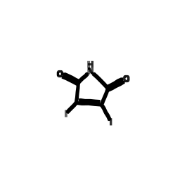 O=C1NC(=O)C(I)=C1I